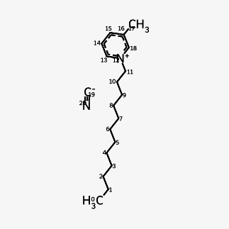 CCCCCCCCCCCC[n+]1cccc(C)c1.[C-]#N